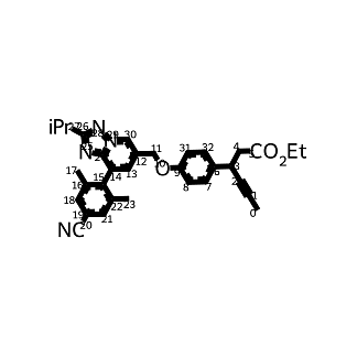 CC#CC(CC(=O)OCC)c1ccc(OCc2cc(-c3c(C)cc(C#N)cc3C)c3nc(C(C)C)nn3c2)cc1